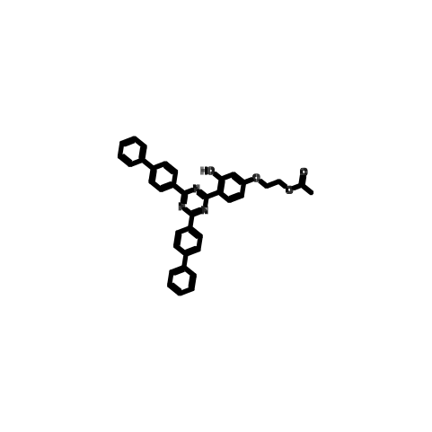 CC(=O)OCCOc1ccc(-c2nc(-c3ccc(-c4ccccc4)cc3)nc(-c3ccc(-c4ccccc4)cc3)n2)c(O)c1